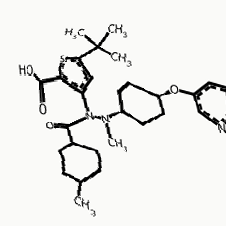 CC1CCC(C(=O)N(c2cc(C(C)(C)C)sc2C(=O)O)N(C)[C@H]2CC[C@@H](Oc3cccnc3)CC2)CC1